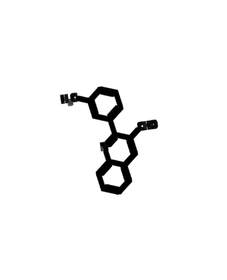 Cc1cccc(-c2nc3ccccc3cc2C=O)c1